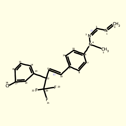 C=N/C=N\N(C)c1ccc(/C=C/C(c2cccc(Cl)c2)C(F)(F)F)cc1